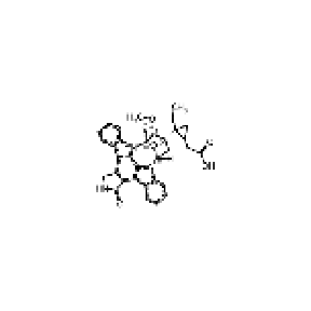 CCC1([C@@H]2C[C@H]3O[C@@](C)([C@@H]2OC)n2c4ccccc4c4c5c(c6c7ccccc7n3c6c42)C(=O)NC5)CC1CC(=O)O